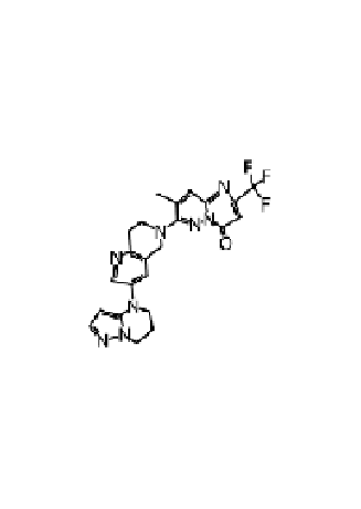 Cc1cc2nc(C(F)(F)F)cc(=O)n2nc1N1CCc2ncc(N3CCCn4nccc43)cc2C1